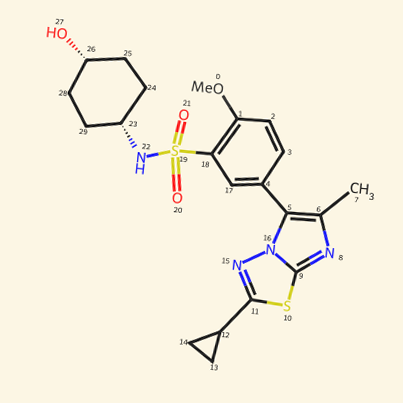 COc1ccc(-c2c(C)nc3sc(C4CC4)nn23)cc1S(=O)(=O)N[C@H]1CC[C@@H](O)CC1